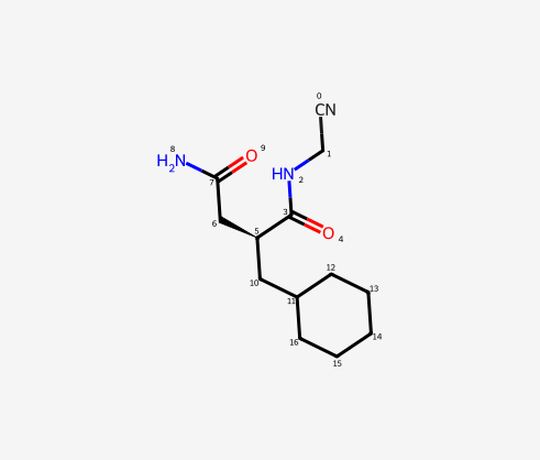 N#CCNC(=O)[C@H](CC(N)=O)CC1CCCCC1